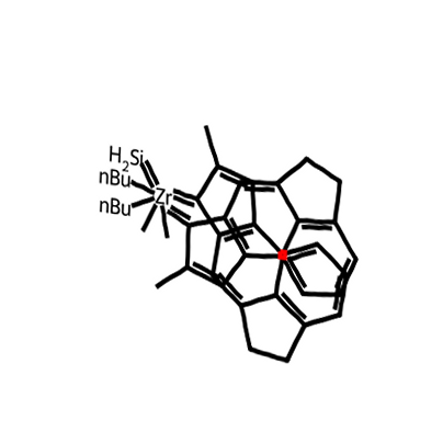 CCC[CH2][Zr]([CH3])([CH3])(=[SiH2])([CH2]CCC)(=[C]1C(C)=Cc2c1cc1c3c(cccc23)CC1)=[C]1C(C)=Cc2c1cc1c3c(cccc23)CC1